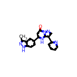 Cc1n[nH]c2ccc(-c3cc(=O)n4ncc(-c5ccccn5)c4[nH]3)cc12